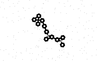 c1ccc(-n2c3ccccc3c3cc(-c4ccc5c(c4)c4ccccc4n5-c4ccc(-c5ccc(-c6cccc(C7(c8ccccc8)c8ccccc8-c8ccccc87)c6)cc5)cc4)ccc32)cc1